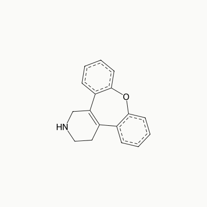 c1ccc2c(c1)Oc1ccccc1C1=C2CCNC1